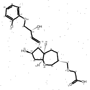 O=C(O)COC[C@H]1CC[C@@H]2[C@@H](/C=C/[C@@H](O)COc3ccccc3Cl)[C@H](O)C[C@@H]2OC1